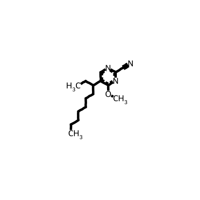 CCCCCCCC(CC)c1cnc(C#N)nc1OC